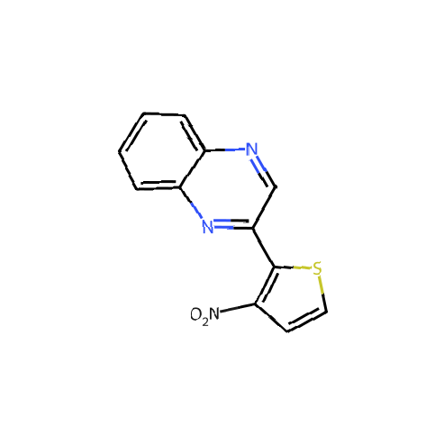 O=[N+]([O-])c1ccsc1-c1cnc2ccccc2n1